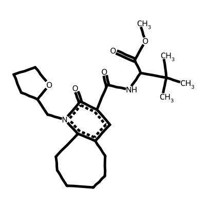 COC(=O)C(NC(=O)c1cc2c(n(CC3CCCO3)c1=O)CCCCCC2)C(C)(C)C